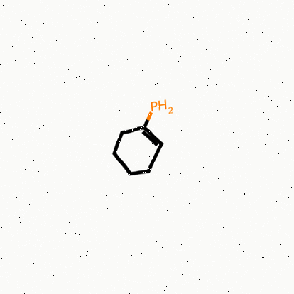 PC1=CCCCC1